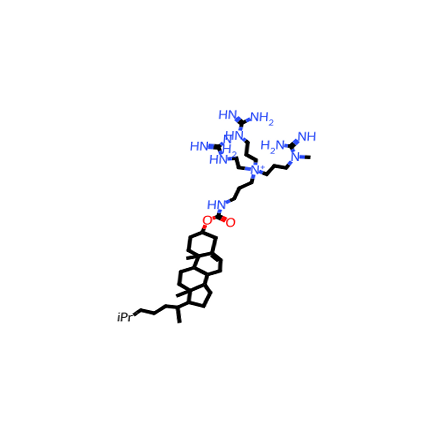 CC(C)CCCC(C)C1CCC2C3CC=C4CC(OC(=O)NCCC[N+](CCCNC(=N)N)(CCCN(C)C(=N)N)CCNC(=N)N)CCC4(C)C3CCC12C